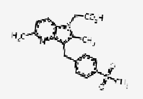 Cc1ccc2c(n1)c(Cc1ccc(S(C)(=O)=O)cc1)c(C)n2CC(=O)O